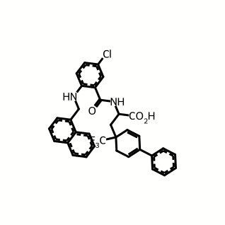 O=C(NC(CC1(C(F)(F)F)C=CC(c2ccccc2)=CC1)C(=O)O)c1cc(Cl)ccc1NCc1cccc2ccccc12